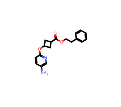 Nc1ccc(OC2CC(C(=O)OCCc3ccccc3)C2)nc1